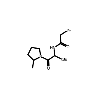 CC(C)CC(=O)NC(C(=O)N1CCCC1C)C(C)(C)C